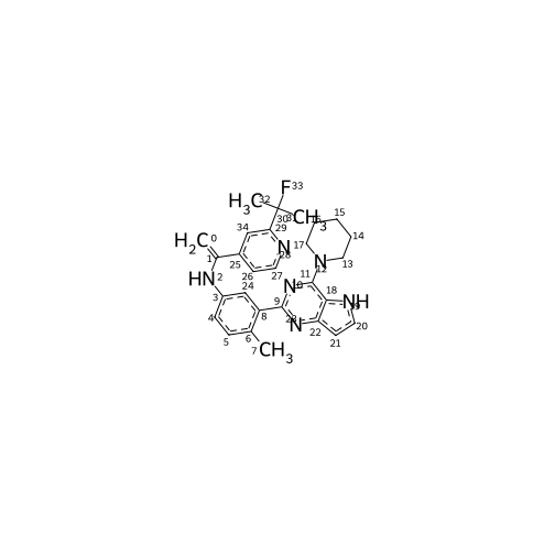 C=C(Nc1ccc(C)c(-c2nc(N3CCCCC3)c3[nH]ccc3n2)c1)c1ccnc(C(C)(C)F)c1